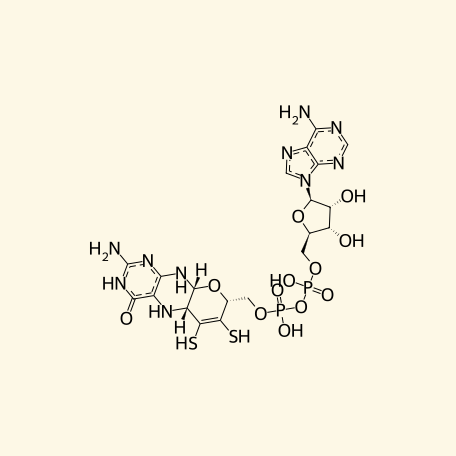 Nc1nc2c(c(=O)[nH]1)N[C@H]1C(S)=C(S)[C@@H](COP(=O)(O)OP(=O)(O)OC[C@H]3O[C@@H](n4cnc5c(N)ncnc54)[C@H](O)[C@@H]3O)O[C@H]1N2